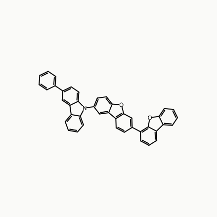 c1ccc(-c2ccc3c(c2)c2ccccc2n3-c2ccc3oc4cc(-c5cccc6c5oc5ccccc56)ccc4c3c2)cc1